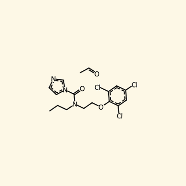 CC=O.CCCN(CCOc1c(Cl)cc(Cl)cc1Cl)C(=O)n1ccnc1